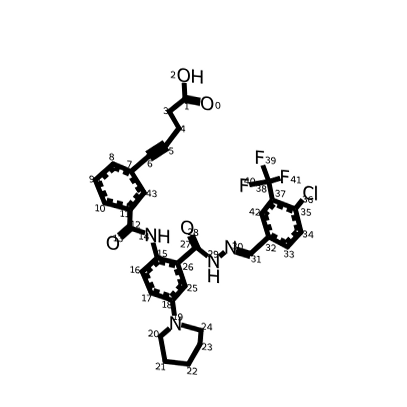 O=C(O)CCC#Cc1cccc(C(=O)Nc2ccc(N3CCCCC3)cc2C(=O)NN=Cc2ccc(Cl)c(C(F)(F)F)c2)c1